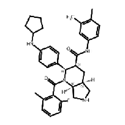 Cc1ccc(NC(=O)[C@H]2C[C@H]3CNC[C@H]3N(C(=O)c3c(C)cccc3F)[C@H]2c2ccc(NC3CCCC3)cc2)cc1C(F)(F)F